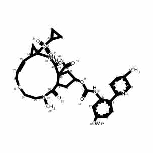 COc1ccc(-c2ccc(C)cn2)c(NC(=O)OC2CC3C(=O)N(C)CCCCC=CC4CC4(S(=O)(=O)C4CC4)NC(=O)C3(C(N)=O)C2)c1